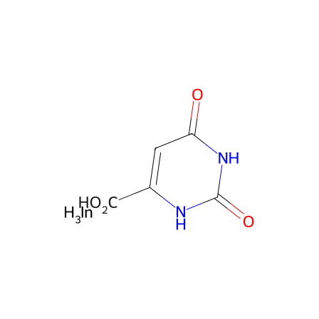 O=C(O)c1cc(=O)[nH]c(=O)[nH]1.[InH3]